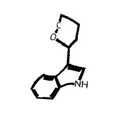 c1ccc2c(C3CCCCO3)c[nH]c2c1